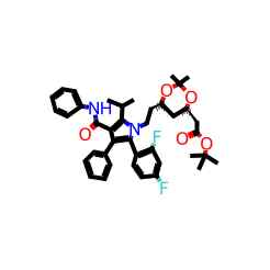 CC(C)c1c(C(=O)Nc2ccccc2)c(-c2ccccc2)c(-c2ccc(F)cc2F)n1CC[C@@H]1C[C@H](CC(=O)OC(C)(C)C)OC(C)(C)O1